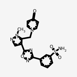 Cn1ncc(-c2nc(-c3cccc(S(N)(=O)=O)c3)no2)c1Cn1ccc(=O)cc1